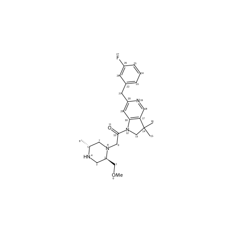 COC[C@H]1CN[C@H](C)CN1CC(=O)N1CC(C)(C)c2cnc(Cc3cccc(F)c3)cc21